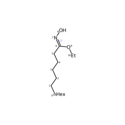 CCCCCCCCCCC/C(=N/O)OCC